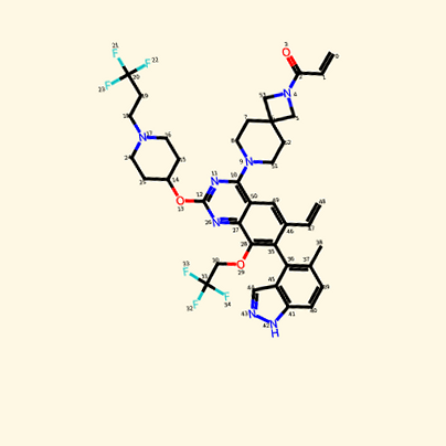 C=CC(=O)N1CC2(CCN(c3nc(OC4CCN(CCC(F)(F)F)CC4)nc4c(OCC(F)(F)F)c(-c5c(C)ccc6[nH]ncc56)c(C=C)cc34)CC2)C1